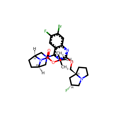 CC(C)(C)OC(=O)N1[C@@H]2CC[C@H]1CN(c1nc(OC[C@@]34CCCN3C[C@H](F)C4)nc3cc(Br)c(F)cc13)C2